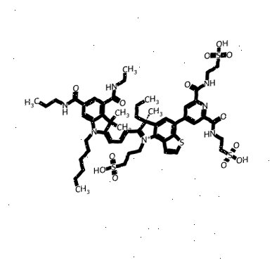 CCCCCCN1/C(=C/C=C/C2=[N+](CCCS(=O)(=O)O)c3c(cc(-c4cc(C(=O)NCCS(=O)(=O)O)nc(C(=O)NCCS(=O)(=O)O)c4)c4sccc34)[C@]2(C)CCC)C(C)(C)c2c(C(=O)NCC)cc(C(=O)NCCC)cc21